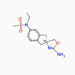 CCN(c1ccc2c(c1)C[C@@]1(COC(N)=N1)C2)S(C)(=O)=O